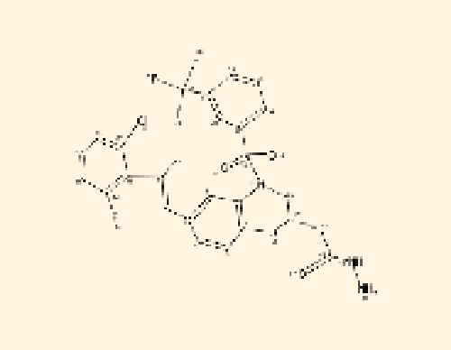 CC(=Cc1ccc2c(c1)N(S(=O)(=O)c1cccc(C(F)(F)F)c1)C[C@H](CC(=O)NN)O2)c1c(F)cccc1Cl